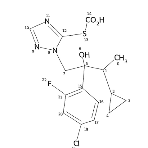 CC(C1CC1)C(O)(Cn1ncnc1SC(=O)O)c1ccc(Cl)cc1F